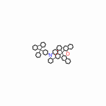 c1ccc(N(c2ccc(C3(c4ccccc4)c4ccccc4-c4ccccc43)cc2)c2ccccc2-c2ccc3c(c2)-c2ccccc2C32c3ccc4ccccc4c3Oc3c2ccc2ccccc32)cc1